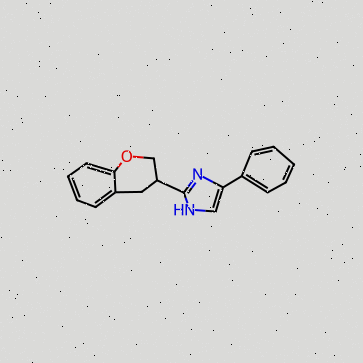 c1ccc(-c2c[nH]c(C3COc4ccccc4C3)n2)cc1